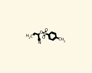 C=CC(C#N)OS(=O)(=O)c1ccc(C)cc1